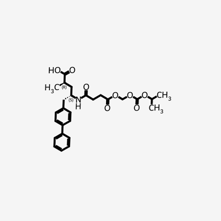 CC(C)OC(=O)OCOC(=O)CCC(=O)N[C@H](Cc1ccc(-c2ccccc2)cc1)C[C@@H](C)C(=O)O